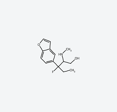 CCC(F)(c1ccc2occc2c1)C(CO)NC